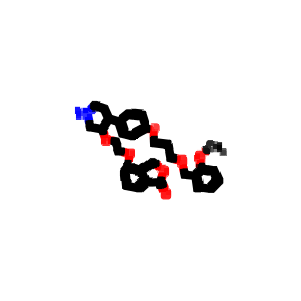 COc1ccccc1COCCCOc1ccc(C2CCNCC2OCCOc2cccc3c2COC3=O)cc1